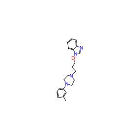 Cc1cccc(N2CCN(CCCOn3cnc4ccccc43)CC2)c1